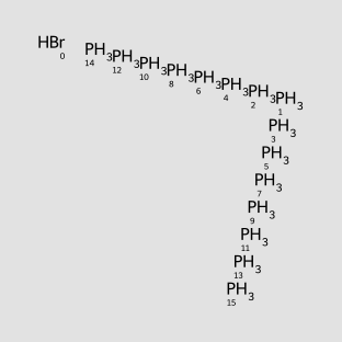 Br.P.P.P.P.P.P.P.P.P.P.P.P.P.P.P